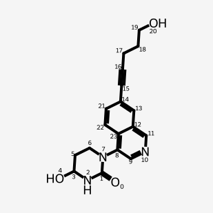 O=C1NC(O)CCN1c1cncc2cc(C#CCCCO)ccc12